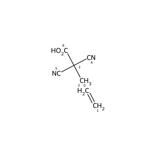 C=C.CC(C#N)(C#N)C(=O)O